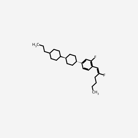 CCCC/C(F)=C\c1ccc([C@H]2CC[C@H](C3CCC(CCC)CC3)CC2)cc1F